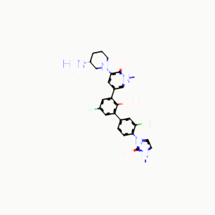 Cn1cc(-c2cc(F)cc(-c3ccc(-n4ccn(C)c4=O)c(Cl)c3)c2O)cc(N2CCC[C@H](N)C2)c1=O